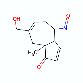 CC12CC(CO)=CCC(N=O)C1C=CC2=O